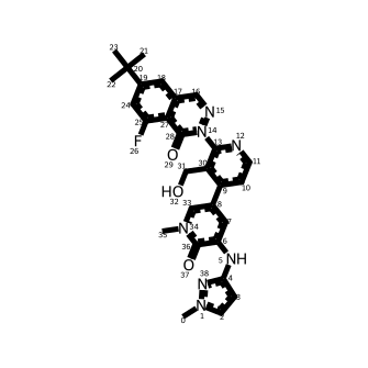 Cn1ccc(Nc2cc(-c3ccnc(-n4ncc5cc(C(C)(C)C)cc(F)c5c4=O)c3CO)cn(C)c2=O)n1